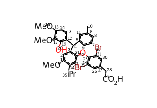 COc1cc(C(c2cccc(C)c2)c2ccc(OC)c(OC)c2O)c(Oc2c(Br)cc(CC(=O)O)cc2Br)cc1C(C)C